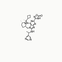 CC(Nc1nc2nc(-c3noc(=O)[nH]3)nc(N[C@H](C)C3CCC3)c2n1C[C@H]1CC[C@H](C)CC1)c1cncnc1